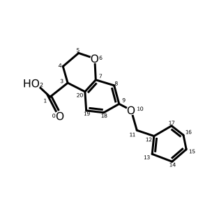 O=C(O)C1CCOc2cc(OCc3ccccc3)ccc21